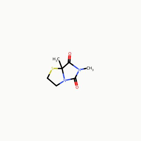 CN1C(=O)N2CCSC2(C)C1=O